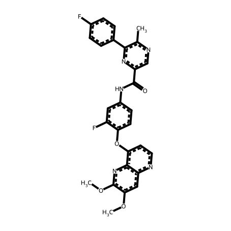 COc1cc2nccc(Oc3ccc(NC(=O)c4cnc(C)c(-c5ccc(F)cc5)n4)cc3F)c2nc1OC